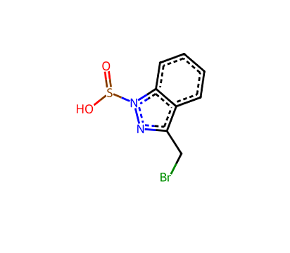 O=S(O)n1nc(CBr)c2ccccc21